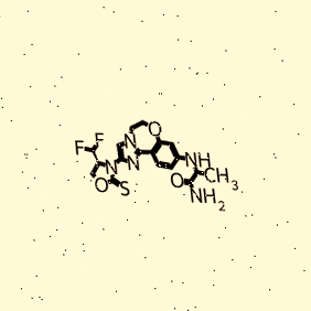 CC(Nc1ccc2c(c1)OCCn1cc(N3C(=S)OC[C@H]3C(F)F)nc1-2)C(N)=O